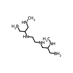 BCC(CNCCNC(CB)CNC)NC